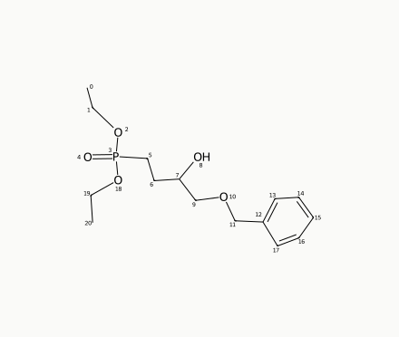 CCOP(=O)(CCC(O)COCc1ccccc1)OCC